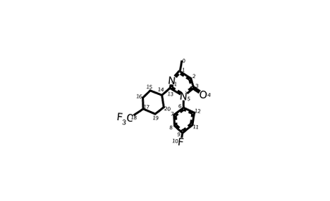 Cc1cc(=O)n(-c2ccc(F)cc2)c(C2CCC(C(F)(F)F)CC2)n1